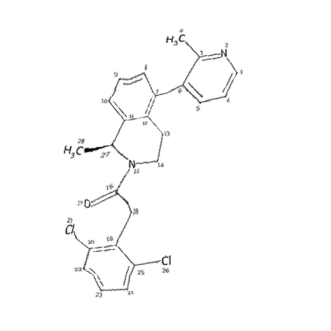 Cc1ncccc1-c1cccc2c1CCN(C(=O)Cc1c(Cl)cccc1Cl)[C@H]2C